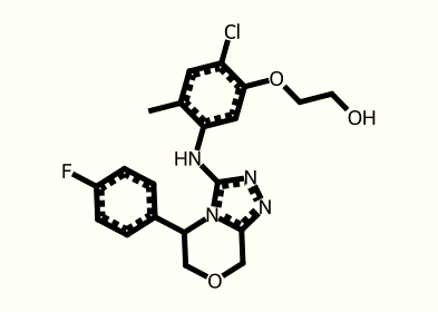 Cc1cc(Cl)c(OCCO)cc1Nc1nnc2n1C(c1ccc(F)cc1)COC2